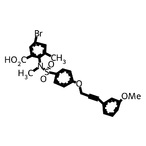 COc1cccc(C#CCOc2ccc(S(=O)(=O)N(C)c3c(C)cc(Br)cc3C(=O)O)cc2)c1